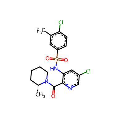 C[C@@H]1CCCCN1C(=O)c1ncc(Cl)cc1NS(=O)(=O)c1ccc(Cl)c(C(F)(F)F)c1